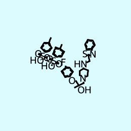 CC(O)(COc1ccc(F)cc1)CN1CCC(NCc2nc3ccccc3s2)CC1.Cc1ccc(S(=O)(=O)O)cc1.Cc1ccc(S(=O)(=O)O)cc1